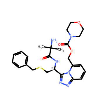 CC(C)(N)C(=O)N[C@H](CSCc1ccccc1)c1nnc2cccc(COC(=O)N3CCOCC3)n12